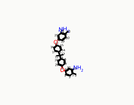 Cc1ccc(Oc2ccc(C(C)(C)c3ccc(Oc4ccc(C)c(N)c4)cc3)cc2)cc1N